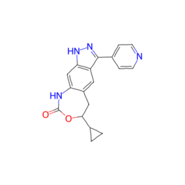 O=C1Nc2cc3[nH]nc(-c4ccncc4)c3cc2CC(C2CC2)O1